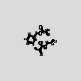 C=C(C)C(=O)OCc1ccccc1.C=CCOC(=O)C(=C)C